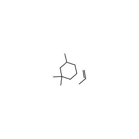 C=CC.CC1CCCC(C)(C)C1